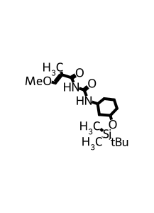 COC=C(C)C(=O)NC(=O)NC1CCCC(O[Si](C)(C)C(C)(C)C)C1